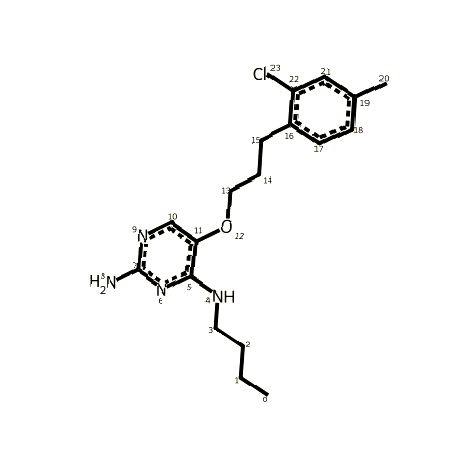 CCCCNc1nc(N)ncc1OCCCc1ccc(C)cc1Cl